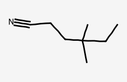 CCC(C)(C)CCC#N